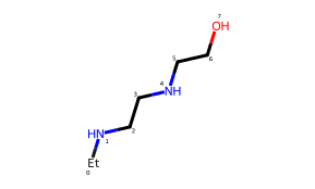 CCNCCNCCO